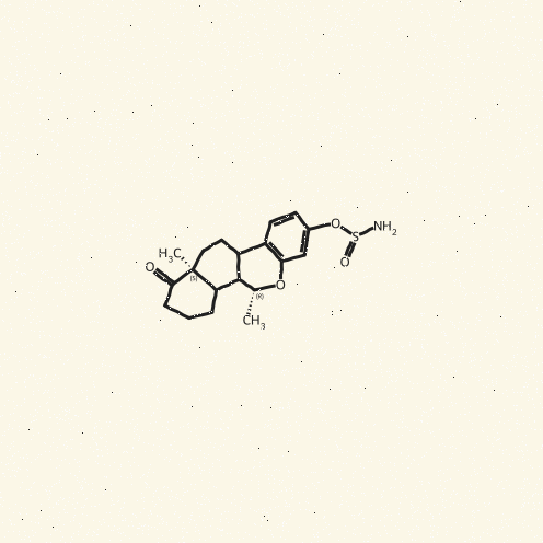 C[C@H]1Oc2cc(OS(N)=O)ccc2C2CC[C@]3(C)C(=O)CCCC3C21